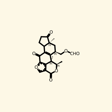 C[C@H]1OC(=O)c2coc3c2[C@@]1(C)C1=C(C3=O)C2CCC(=O)[C@@]2(C)C[C@H]1COC=O